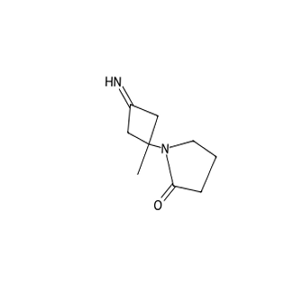 CC1(N2CCCC2=O)CC(=N)C1